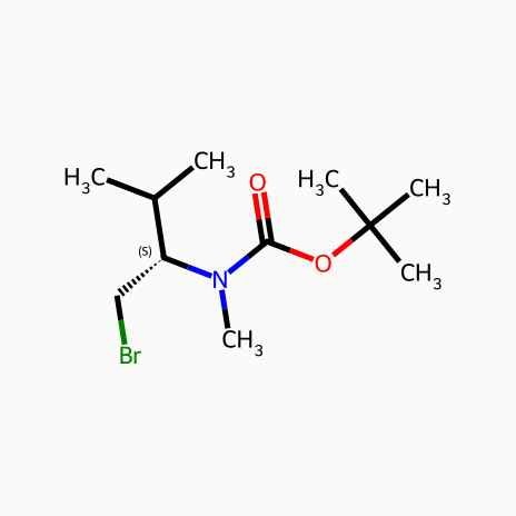 CC(C)[C@@H](CBr)N(C)C(=O)OC(C)(C)C